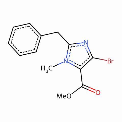 COC(=O)c1c(Br)nc(Cc2ccccc2)n1C